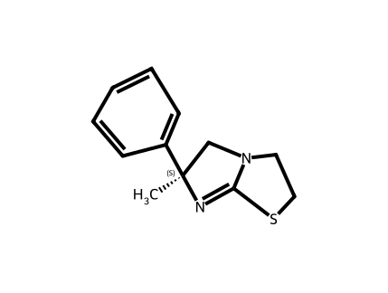 C[C@]1(c2ccccc2)CN2CCSC2=N1